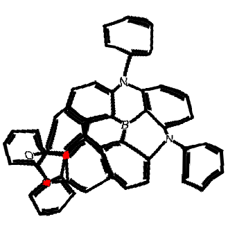 c1ccc(N2c3cccc(-c4cccc5oc6ccccc6c45)c3B3c4c(-c5cccc6oc7ccccc7c56)cccc4N(c4ccccc4)c4cccc2c43)cc1